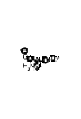 CN1CCN([C@H]2CC[C@H](c3nc(-c4ccc(Oc5ccccc5)cc4)c4c(N)nccn43)CC2)CC1